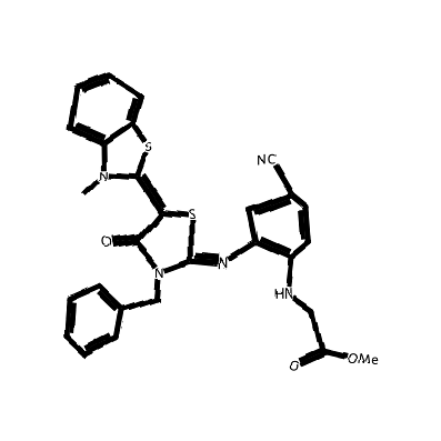 COC(=O)CNc1ccc(C#N)cc1/N=C1\S/C(=C2\Sc3ccccc3N2C)C(=O)N1Cc1ccccc1